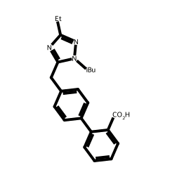 CCc1nc(Cc2ccc(-c3ccccc3C(=O)O)cc2)n(C(C)CC)n1